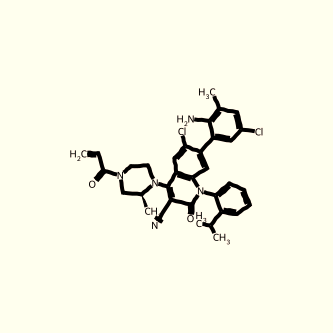 C=CC(=O)N1CCN(c2c(C#N)c(=O)n(-c3ccccc3C(C)C)c3cc(-c4cc(Cl)cc(C)c4N)c(Cl)cc23)[C@@H](C)C1